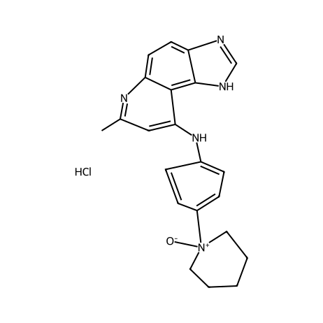 Cc1cc(Nc2ccc([N+]3([O-])CCCCC3)cc2)c2c(ccc3nc[nH]c32)n1.Cl